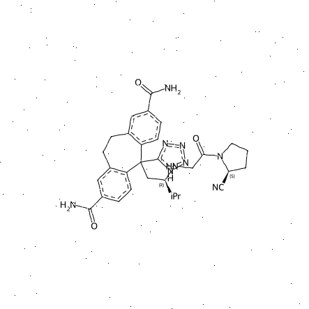 CC(C)[C@@H](CC1(c2nnn[nH]2)c2ccc(C(N)=O)cc2CCc2cc(C(N)=O)ccc21)NCC(=O)N1CCC[C@H]1C#N